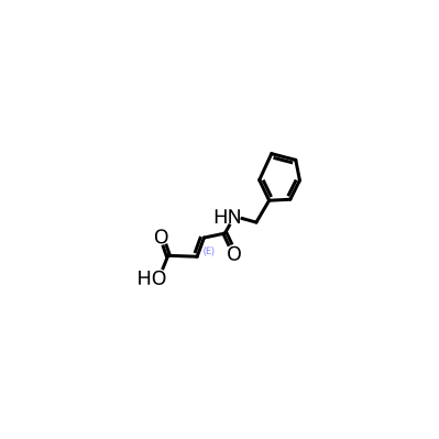 O=C(O)/C=C/C(=O)NCc1ccccc1